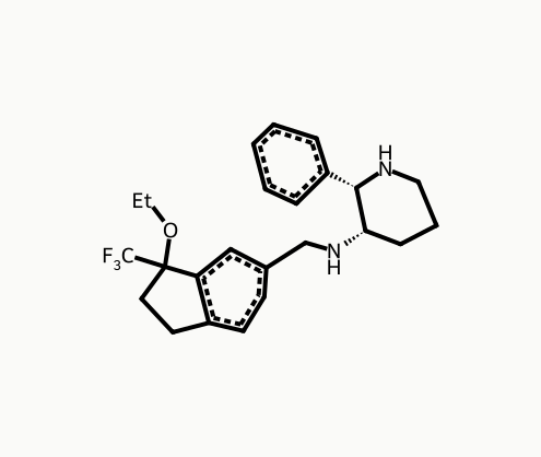 CCOC1(C(F)(F)F)CCc2ccc(CN[C@H]3CCCN[C@H]3c3ccccc3)cc21